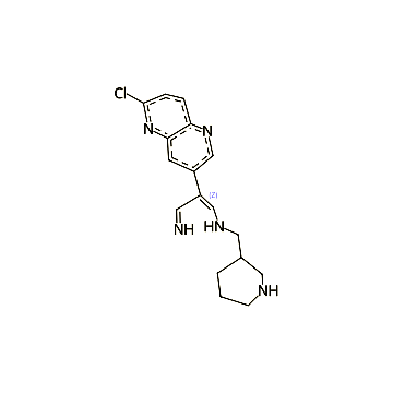 N=C/C(=C\NCC1CCCNC1)c1cnc2ccc(Cl)nc2c1